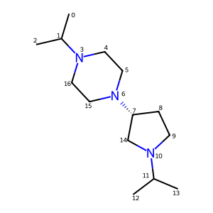 CC(C)N1CCN([C@@H]2CCN(C(C)C)C2)CC1